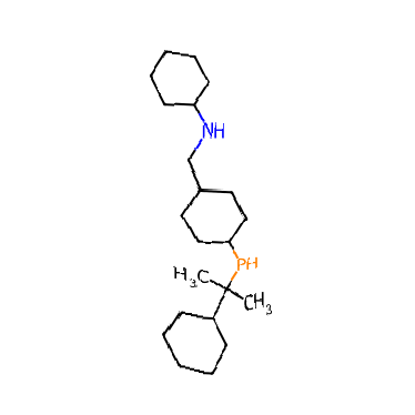 CC(C)(PC1CCC(CNC2CCCCC2)CC1)C1CCCCC1